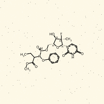 CCC(C(=O)OC)N(Oc1ccccc1)[PH](=O)OC[C@H]1O[C@@H](n2ccc(=O)[nH]c2=O)[C@](C)(F)[C@@H]1O